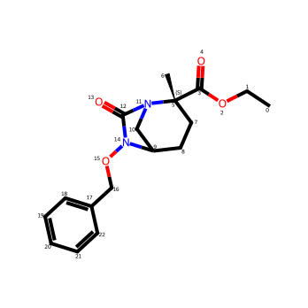 CCOC(=O)[C@]1(C)CCC2CN1C(=O)N2OCc1ccccc1